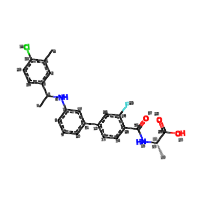 Cc1cc(C(C)Nc2cccc(-c3ccc(C(=O)N[C@@H](C)C(=O)O)c(F)c3)c2)ccc1Cl